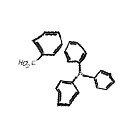 O=C(O)c1ccccc1.c1ccc(P(c2ccccc2)c2ccccc2)cc1